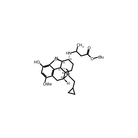 COc1cc(O)c2c3c1C[C@@H]1[C@@H]4CC[C@@H](NC(C)CC(=O)OC(C)(C)C)[C@H](O2)[C@]34CCN1CC1CC1